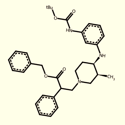 C[C@H]1CN(CC(C(=O)OCc2ccccc2)c2ccccc2)CC[C@H]1Nc1cccc(NC(=O)OC(C)(C)C)c1